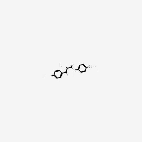 N#CC(C(=O)Nc1ccc([N+](=O)[O-])cc1)C(=O)c1ccc(C(F)(F)F)cc1